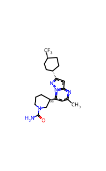 Cc1cc([C@@H]2CCCN(C(N)=O)C2)n2nc([C@H]3CC[C@H](C(F)(F)F)CC3)cc2n1